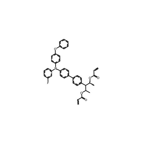 C=CC(=O)OC(C)C(c1ccc(-c2ccc(N(c3ccc(Oc4ccccc4)cc3)c3cccc(F)c3)cc2)cc1)C(C)OC(=O)C=C